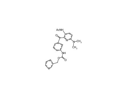 CC(=O)Nc1ccc(N(C)C)nc1C(=O)c1cccc(NC(=O)OCc2ccccc2)c1